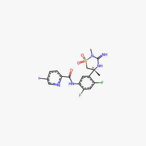 CN1C(=N)N[C@](C)(c2cc(NC(=O)c3ccc(I)cn3)c(F)cc2F)CS1(=O)=O